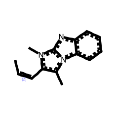 C/C=C\c1c(C)n2c3ccccc3nc2n1C